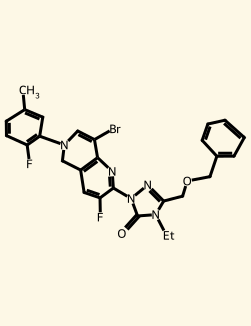 CCn1c(COCc2ccccc2)nn(-c2nc3c(cc2F)CN(c2cc(C)ccc2F)C=C3Br)c1=O